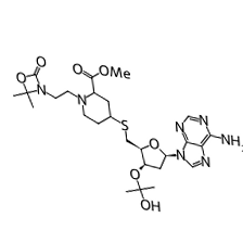 COC(=O)C1CC(SC[C@H]2O[C@@H](n3cnc4c(N)ncnc43)C[C@H]2OC(C)(C)O)CCN1CCN1C(=O)OC1(C)C